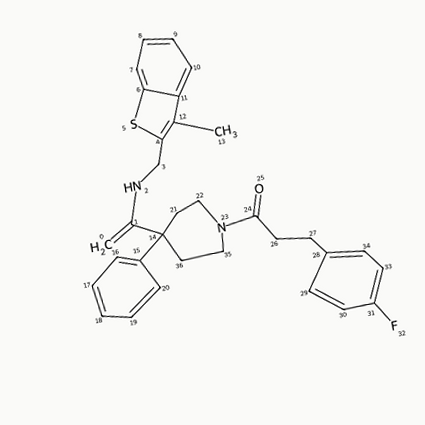 C=C(NCc1sc2ccccc2c1C)C1(c2ccccc2)CCN(C(=O)CCc2ccc(F)cc2)CC1